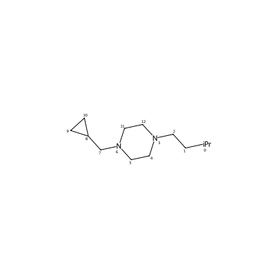 CC(C)CCN1CCN(CC2CC2)CC1